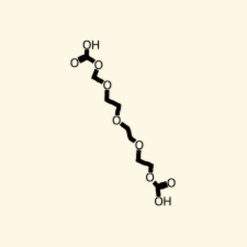 O=C(O)OCCOCCOCCOCOC(=O)O